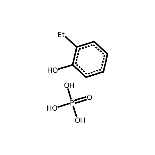 CCc1ccccc1O.O=P(O)(O)O